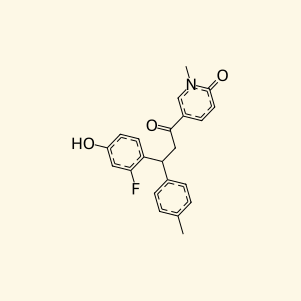 Cc1ccc(C(CC(=O)c2ccc(=O)n(C)c2)c2ccc(O)cc2F)cc1